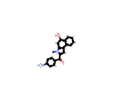 Cn1c(C(=O)c2ccc(N)cc2)cc2c3ccccc3c(O)cc21